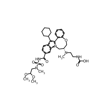 COC(CN(C)S(=O)(=O)NC(=O)c1ccc2c(C3CCCCC3)c3n(c2c1)C[C@@H](N(C)CCNC(=O)O)COc1ccccc1-3)OC